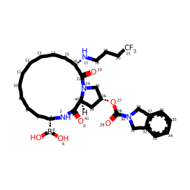 O=C1N[C@H](B(O)O)CCCCCCCCC[C@H](NCCCC(F)(F)F)C(=O)N2C[C@H](OC(=O)N3Cc4ccccc4C3)C[C@@H]12